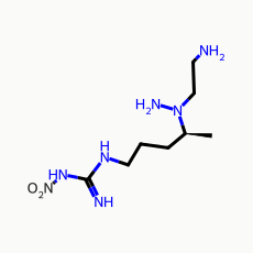 C[C@@H](CCCNC(=N)N[N+](=O)[O-])N(N)CCN